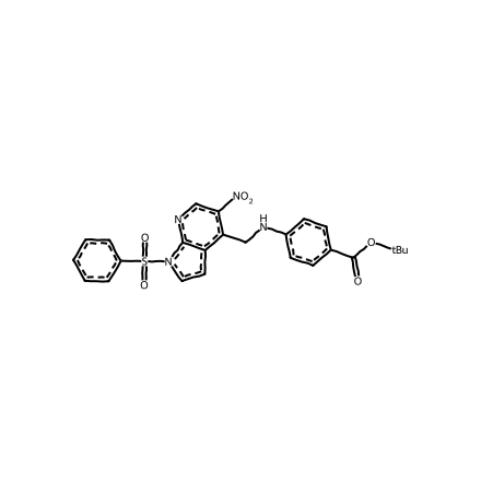 CC(C)(C)OC(=O)c1ccc(NCc2c([N+](=O)[O-])cnc3c2ccn3S(=O)(=O)c2ccccc2)cc1